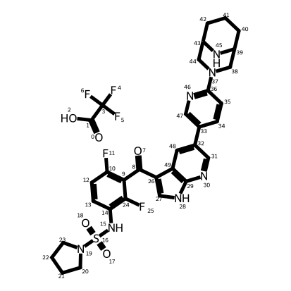 O=C(O)C(F)(F)F.O=C(c1c(F)ccc(NS(=O)(=O)N2CCCC2)c1F)c1c[nH]c2ncc(-c3ccc(N4CC5CCCC(C4)N5)nc3)cc12